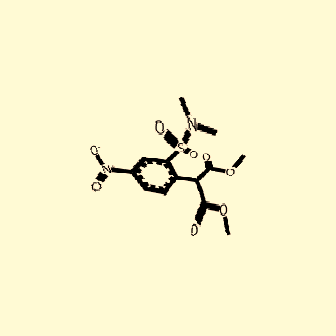 COC(=O)C(C(=O)OC)c1ccc([N+](=O)[O-])cc1S(=O)(=O)N(C)C